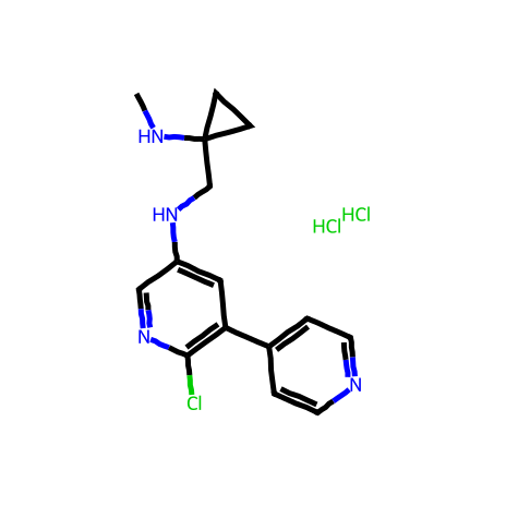 CNC1(CNc2cnc(Cl)c(-c3ccncc3)c2)CC1.Cl.Cl